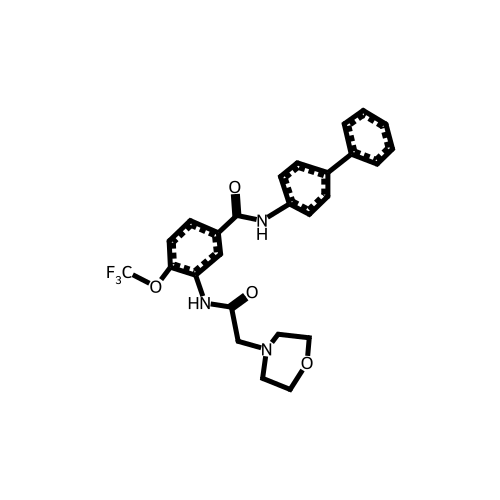 O=C(CN1CCOCC1)Nc1cc(C(=O)Nc2ccc(-c3ccccc3)cc2)ccc1OC(F)(F)F